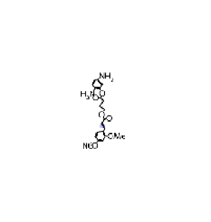 COc1cc(OC#N)ccc1/C=C/C(=O)OCCCC(=O)Oc1cc(N)ccc1N